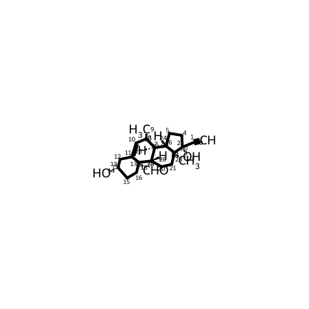 C#C[C@]1(O)CC[C@H]2[C@@H]3[C@H](C)C=C4C[C@@H](O)CC[C@]4(C=O)[C@H]3CC[C@@]21C